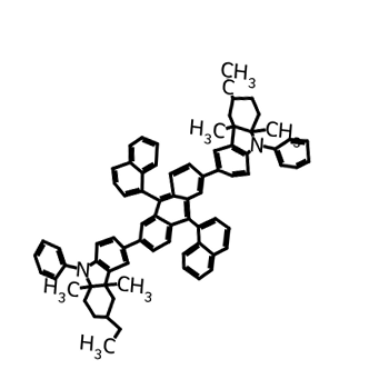 CCC1CCC2(C)N(c3ccccc3)c3ccc(-c4ccc5c(-c6cccc7ccccc67)c6cc(-c7ccc8c(c7)C7(C)CC(CC)CCC7(C)N8c7ccccc7)ccc6c(-c6cccc7ccccc67)c5c4)cc3C2(C)C1